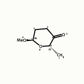 CO[C@H]1CCC(=O)[C@H](C)O1